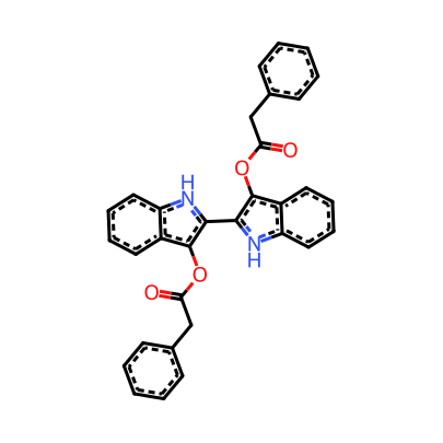 O=C(Cc1ccccc1)Oc1c(-c2[nH]c3ccccc3c2OC(=O)Cc2ccccc2)[nH]c2ccccc12